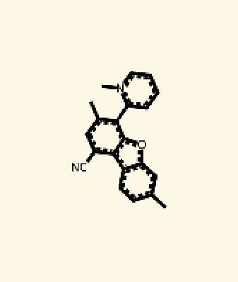 Cc1ccc2c(c1)oc1c(-c3cccc[n+]3C)c(C)cc(C#N)c12